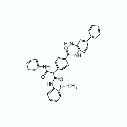 COc1ccccc1NC(=O)C(C(=O)Nc1ccccc1)c1ccc(C(=O)Nc2ccc(-c3ccccc3)cc2N)cc1